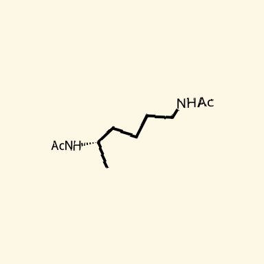 CC(=O)NCCCC[C@H](C)NC(C)=O